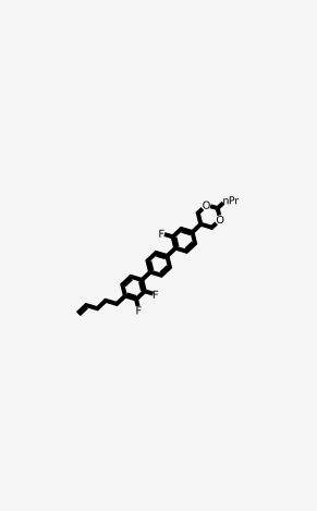 C=CCCCc1ccc(-c2ccc(-c3ccc(C4COC(CCC)OC4)cc3F)cc2)c(F)c1F